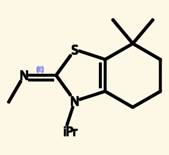 C/N=c1/sc2c(n1C(C)C)CCCC2(C)C